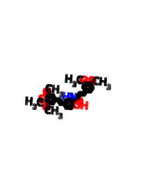 COc1ccc(/C=C/C(=O)Nc2cc(C=Cc3cc(OC)c(OC)c(OC)c3)ccc2O)cc1OC